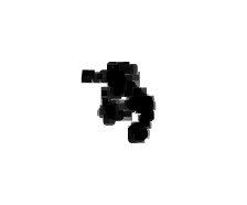 COc1cc2nc(Nc3nc(O)c4cc(OCCN5CCOCC5)ccc4n3)nc(O)c2cc1OC.O=C(O)C(F)(F)F